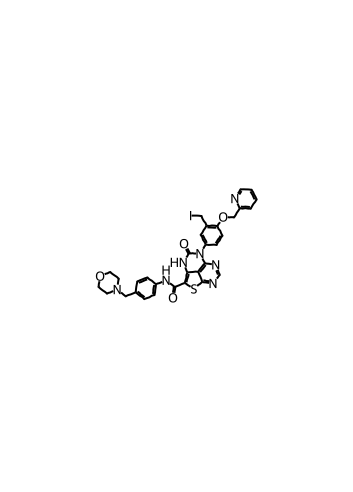 O=C(Nc1ccc(CN2CCOCC2)cc1)c1sc2ncnc3c2c1NC(=O)N3c1ccc(OCc2ccccn2)c(CI)c1